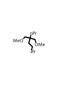 CCCC(CCC(C)C)(COC)COC